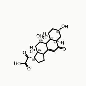 C[C@]12C[C@H](O)C3C(=CC(=O)[C@@H]4C[C@H](O)CC[C@]34C)C1CC[C@@H]2C(=O)C(=O)O